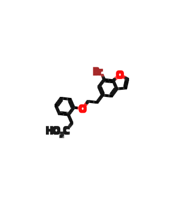 O=C(O)Cc1ccccc1OCCc1cc(Br)c2occc2c1